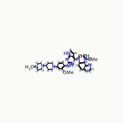 COc1cc(N2CCC(N3CCN(C)CC3)CC2)ccc1Nc1nc(N(C)c2ccc3nccnc3c2N(C)SC)c2cc[nH]c2n1